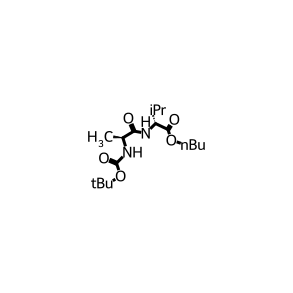 CCCCOC(=O)[C@H](NC(=O)[C@H](C)NC(=O)OC(C)(C)C)C(C)C